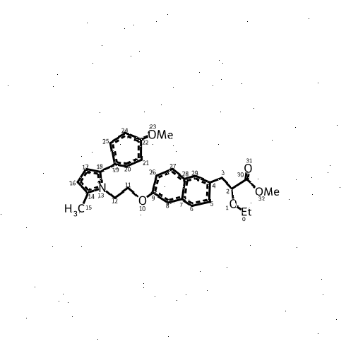 CCOC(Cc1ccc2cc(OCCn3c(C)ccc3-c3ccc(OC)cc3)ccc2c1)C(=O)OC